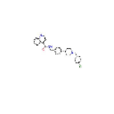 O=C(NCc1ccc(C2CCN(Cc3ccc(Cl)cc3)CC2)cc1)c1ccnc2ccccc12